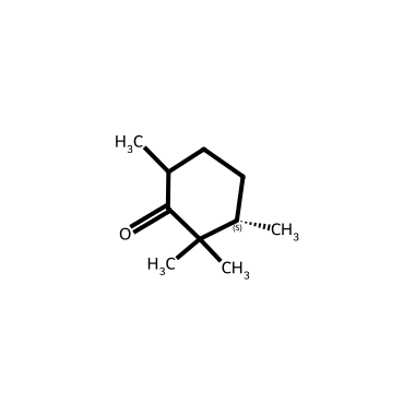 CC1CC[C@H](C)C(C)(C)C1=O